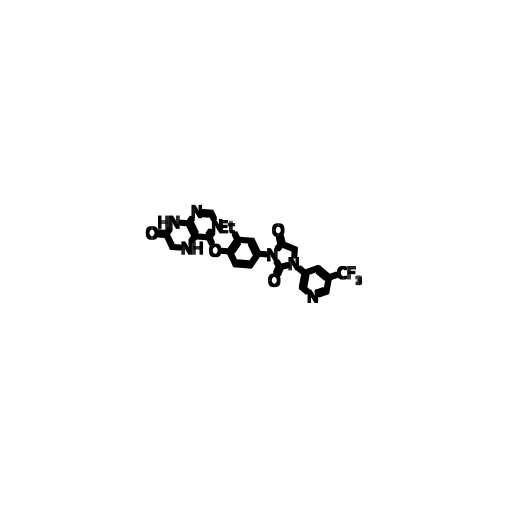 CCc1cc(N2C(=O)CN(c3cncc(C(F)(F)F)c3)C2=O)ccc1Oc1ncnc2c1NCC(=O)N2